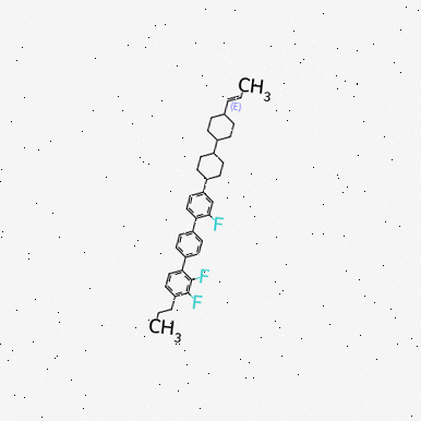 C/C=C/C1CCC(C2CCC(c3ccc(-c4ccc(-c5ccc(CCC)c(F)c5F)cc4)c(F)c3)CC2)CC1